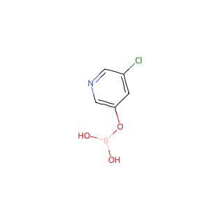 OB(O)Oc1cncc(Cl)c1